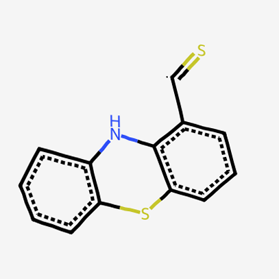 S=[C]c1cccc2c1Nc1ccccc1S2